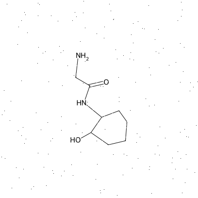 NCC(=O)NC1CCCCC1O